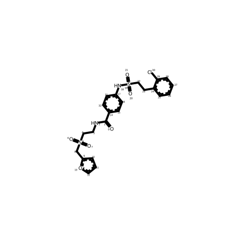 O=C(NCCS(=O)(=O)Cc1ccco1)c1ccc(NS(=O)(=O)CCc2ccccc2Cl)cc1